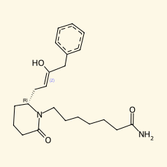 NC(=O)CCCCCCN1C(=O)CCC[C@@H]1C/C=C(\O)Cc1ccccc1